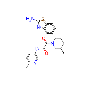 Cc1cc(NC(=O)C(=O)N2C[C@H](C)CC[C@H]2c2ccc3sc(N)nc3c2)cnc1C